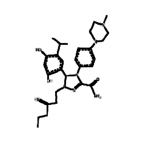 CCCC(=N)CCN1N=C(C(N)=O)N(c2ccc(N3CCN(C)CC3)cc2)C1c1cc(C(C)C)c(O)cc1O